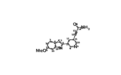 COc1ccc2sc(-c3cncc(C#CC(N)=O)c3)nc2c1